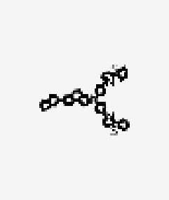 c1ccc2cc(-c3ccc4c(ccc5cc(N(c6ccc(-c7ccc8sc9ccccc9c8n7)cc6)c6ccc(-c7ccc8sc9ccccc9c8n7)cc6)ccc54)c3)ccc2c1